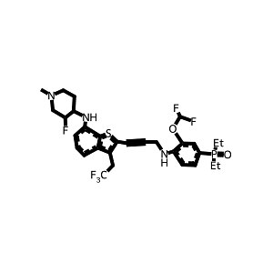 CCP(=O)(CC)c1ccc(NCC#Cc2sc3c(NC4CCN(C)CC4F)cccc3c2CC(F)(F)F)c(OC(F)F)c1